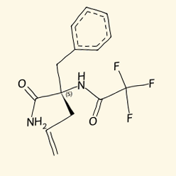 C=CC[C@@](Cc1ccccc1)(NC(=O)C(F)(F)F)C(N)=O